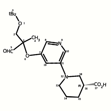 CC(C)(C)OCC(C)(C=O)Oc1cncc(N2CCC[C@@H](C(=O)O)C2)c1